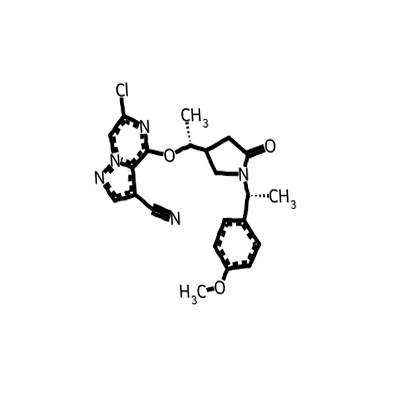 COc1ccc([C@@H](C)N2CC([C@@H](C)Oc3nc(Cl)cn4ncc(C#N)c34)CC2=O)cc1